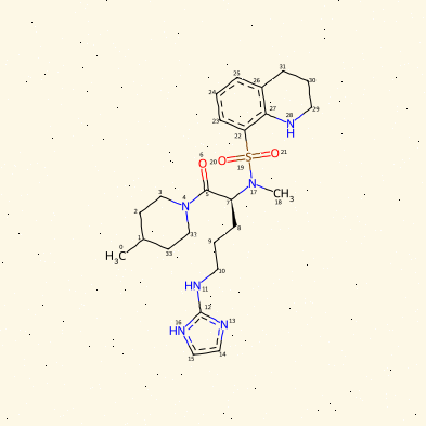 CC1CCN(C(=O)[C@H](CCCNc2ncc[nH]2)N(C)S(=O)(=O)c2cccc3c2NCCC3)CC1